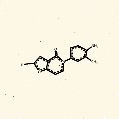 Cc1cc(-n2ccc3oc(Br)cc3c2=O)ccc1N